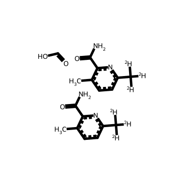 O=CO.[2H]C([2H])([2H])c1ccc(C)c(C(N)=O)n1.[2H]C([2H])([2H])c1ccc(C)c(C(N)=O)n1